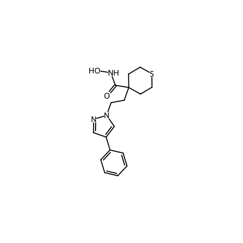 O=C(NO)C1(CCn2cc(-c3ccccc3)cn2)CCSCC1